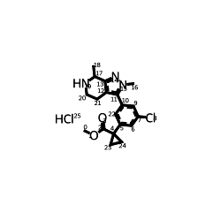 COC(=O)C1(c2cc(Cl)cc(-c3c4c(nn3C)C(C)NCC4)c2)CC1.Cl